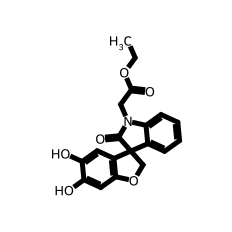 CCOC(=O)CN1C(=O)C2(COc3cc(O)c(O)cc32)c2ccccc21